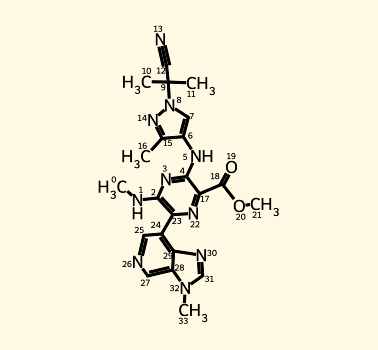 CNc1nc(Nc2cn(C(C)(C)C#N)nc2C)c(C(=O)OC)nc1-c1cncc2c1ncn2C